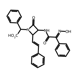 O=C(NC1C(=O)N(C(C(=O)O)c2ccccc2)C1/C=C/c1ccccc1)/C(=N/O)c1ccccc1